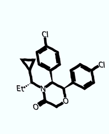 CC[C@H](C1CC1)N1C(=O)CO[C@H](c2ccc(Cl)cc2)[C@@H]1c1ccc(Cl)cc1